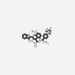 Cc1c(-c2cc(C(=O)O)c3c(O[C@H](C)c4ccc(S(=O)(=O)C(F)(F)F)cc4)ccc(C)c3n2)sc2ccccc12